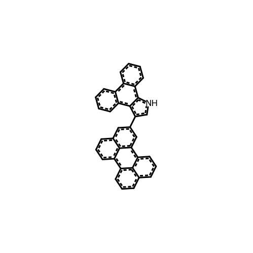 c1ccc2c(c1)c1ccccc1c1c(-c3cc4cccc5c6cccc7cccc(c(c3)c45)c76)c[nH]c21